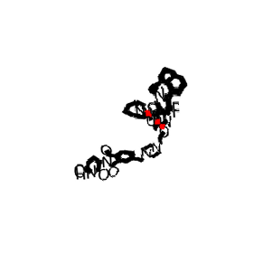 C#Cc1cccc2cccc(-c3ncc4c(N5CC6CCC(C5)N6C(=O)OC(C)(C)C)nc(OCCN5CCN(Cc6ccc7c(c6)C(=O)N(C6CCC(=O)NC6=O)C7=O)CC5)nc4c3F)c12